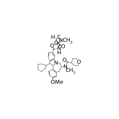 COc1ccc2c(c1)CC(N(C)C(=O)C1CCOCC1)CN1c3cc(C(=O)NS(=O)(=O)N(C)C)ccc3C(C3CCCCC3)C21